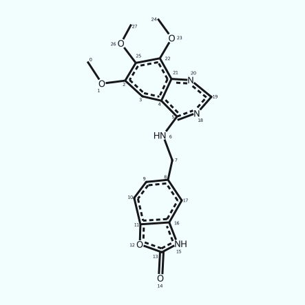 COc1cc2c(NCc3ccc4oc(=O)[nH]c4c3)ncnc2c(OC)c1OC